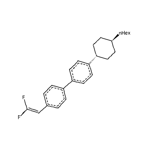 CCCCCC[C@H]1CC[C@H](c2ccc(-c3ccc(C=C(F)F)cc3)cc2)CC1